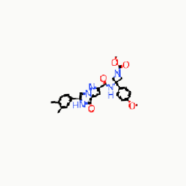 COC(=O)N1CC(NC(=O)c2cc3c(=O)[nH]c(-c4ccc(C)c(C)c4)cn3n2)(c2ccc(OC)cc2)C1